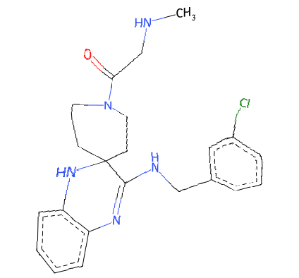 CNCC(=O)N1CCC2(CC1)Nc1ccccc1N=C2NCc1cccc(Cl)c1